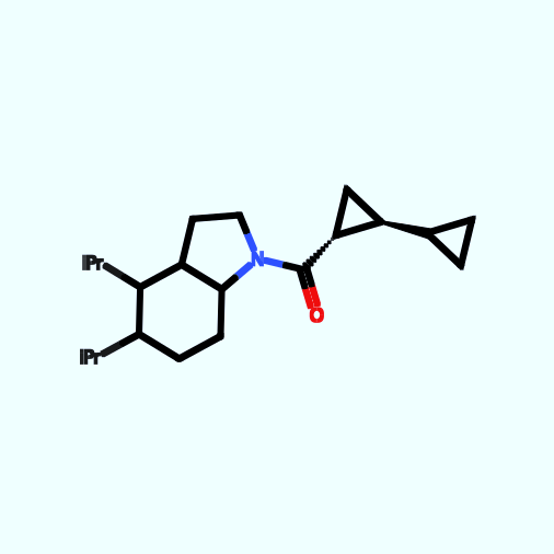 CC(C)C1CCC2C(CCN2C(=O)[C@@H]2C[C@H]2C2CC2)C1C(C)C